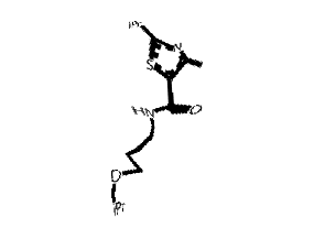 Cc1nc(C(C)C)sc1C(=O)NCCCOC(C)C